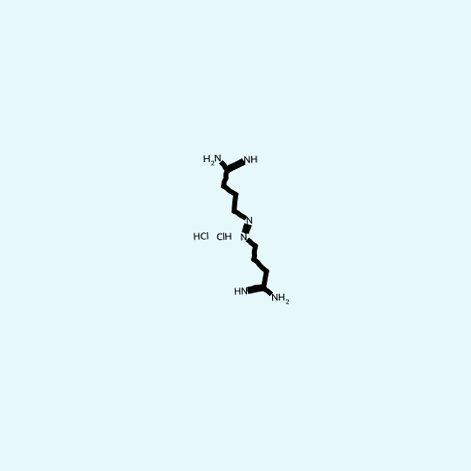 Cl.Cl.N=C(N)CCCN=NCCCC(=N)N